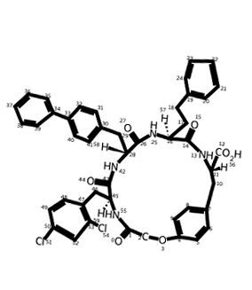 O=C1COc2ccc(cc2)C[C@@H](C(=O)O)NC(=O)[C@H](CCc2ccccc2)NC(=O)[C@@H](Cc2ccc(-c3ccccc3)cc2)NC(=O)[C@H](Cc2ccc(Cl)cc2Cl)N1